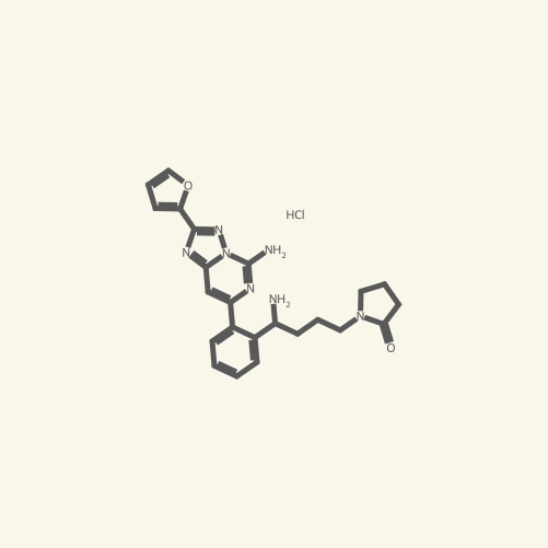 Cl.Nc1nc(-c2ccccc2C(N)CCCN2CCCC2=O)cc2nc(-c3ccco3)nn12